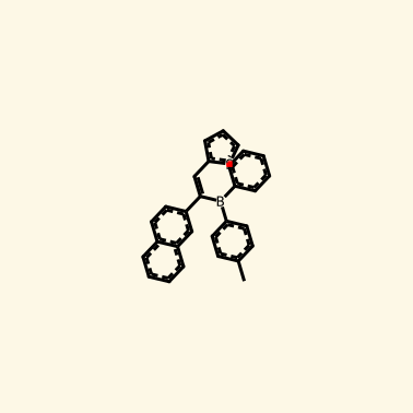 Cc1ccc(B(/C(=C\c2cccs2)c2ccc3ccccc3c2)c2ccccc2)cc1